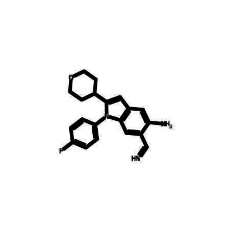 N=Cc1cc2c(cc1N)cc(C1CCOCC1)n2-c1ccc(F)cc1